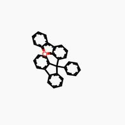 c1ccc(C2(c3cccc4c3oc3ccccc34)c3ccccc3-c3ccccc32)cc1